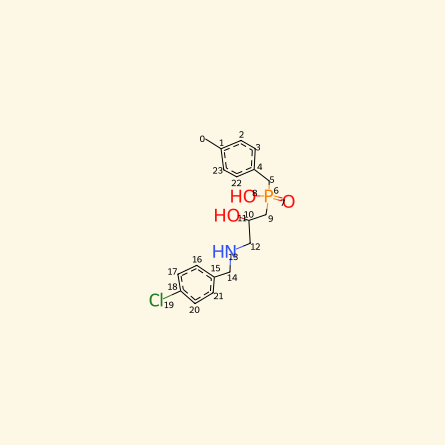 Cc1ccc(CP(=O)(O)CC(O)CNCc2ccc(Cl)cc2)cc1